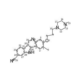 Cc1cc2c(cc1OCCCN1CCN(C)CC1)ncc1c3ccc(C#N)cc3[nH]c21